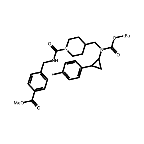 COC(=O)c1ccc(CNC(=O)N2CCC(CN(C(=O)OC(C)(C)C)C3CC3c3ccc(F)cc3)CC2)cc1